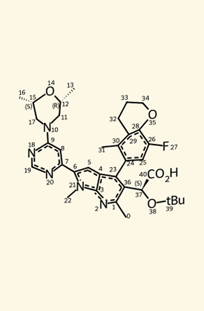 Cc1nc2c(cc(-c3cc(N4C[C@@H](C)O[C@@H](C)C4)ncn3)n2C)c(-c2cc(F)c3c(c2C)CCCO3)c1[C@H](OC(C)(C)C)C(=O)O